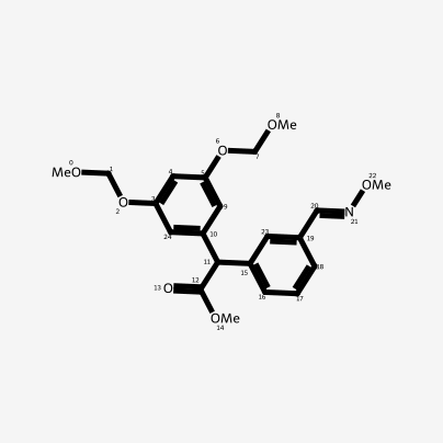 COCOc1cc(OCOC)cc(C(C(=O)OC)c2cccc(C=NOC)c2)c1